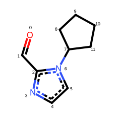 O=Cc1nccn1C1CCCC1